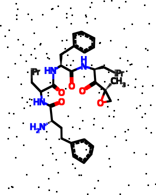 CC(C)CC(NC(=O)[C@@H](N)CCc1ccccc1)C(=O)N[C@@H](Cc1ccccc1)C(=O)N[C@@H](CC(C)C)C(=O)[C@@]1(C)CO1